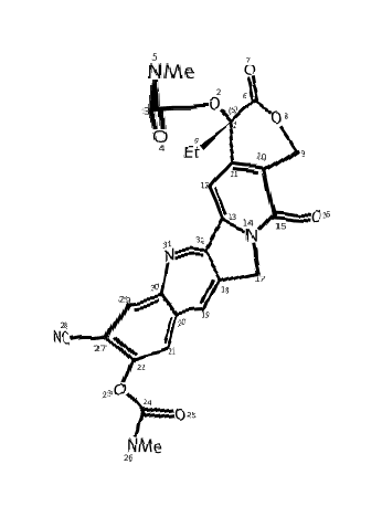 CC[C@@]1(OC(=O)NC)C(=O)OCc2c1cc1n(c2=O)Cc2cc3cc(OC(=O)NC)c(C#N)cc3nc2-1